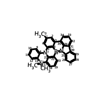 Cc1cc2c3c(c1)N1c4ccccc4[Si](C)(C)c4cccc(c41)B3n1c3ccccc3c3cccc-2c31